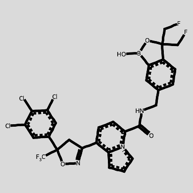 O=C(NCc1ccc2c(c1)B(O)OC2(CF)CF)c1ccc(C2=NOC(c3cc(Cl)c(Cl)c(Cl)c3)(C(F)(F)F)C2)c2cccn12